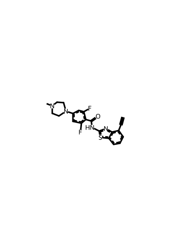 C#Cc1cccc2sc(NC(=O)c3c(F)cc(N4CCN(C)CC4)cc3F)nc12